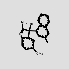 COc1ccc2c(c1)C(O)(c1cc(F)cc3ccccc13)C(N)=N2